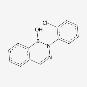 OB1c2ccccc2C=NN1c1ccccc1Cl